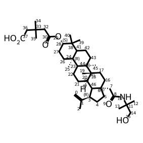 C=C(C)[C@@H]1CC[C@]2(CC(=O)NC(C)(C)CO)CC[C@]3(C)[C@H](CCC4[C@@]5(C)CC[C@H](OC(=O)CC(C)(C)CC(=O)O)C(C)(C)C5CC[C@]43C)C12